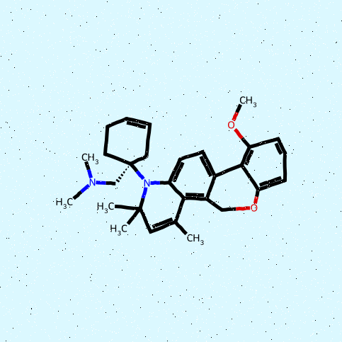 COc1cccc2c1-c1ccc3c(c1CO2)C(C)=CC(C)(C)N3[C@]1(CN(C)C)CC=CCC1